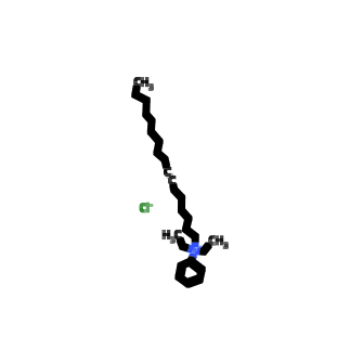 CCCCCCCCCCCCCCCCC[N+](CC)(CC)c1ccccc1.[Cl-]